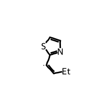 CC/C=[C]\c1nccs1